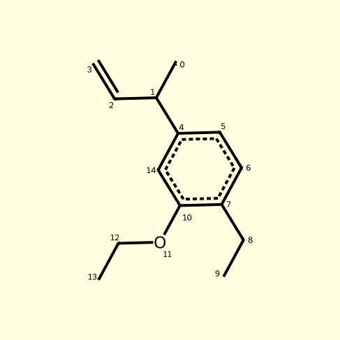 [CH2]C(C=C)c1ccc(CC)c(OCC)c1